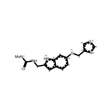 CNC(=O)NCc1cc2ccc(OCc3cscn3)cc2[nH]1